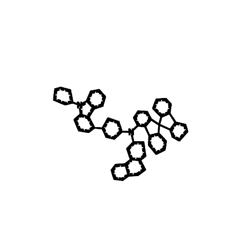 c1ccc(-n2c3ccccc3c3c(-c4ccc(N(c5ccc6ccc7ccccc7c6c5)c5cccc6c5-c5ccccc5C65c6ccccc6-c6ccccc65)cc4)cccc32)cc1